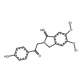 CCOc1cc2c(cc1OCC)C(=N)N(CC(=O)c1ccc(O)cc1)C2